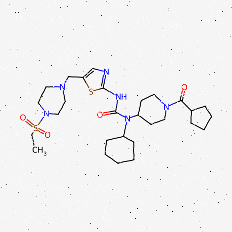 CCS(=O)(=O)N1CCN(Cc2cnc(NC(=O)N(C3CCCCC3)C3CCN(C(=O)C4CCCC4)CC3)s2)CC1